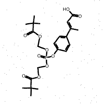 CC(=CC(=O)O)c1ccc(OP(=O)(OCOC(=O)C(C)(C)C)OCOC(=O)C(C)(C)C)cc1